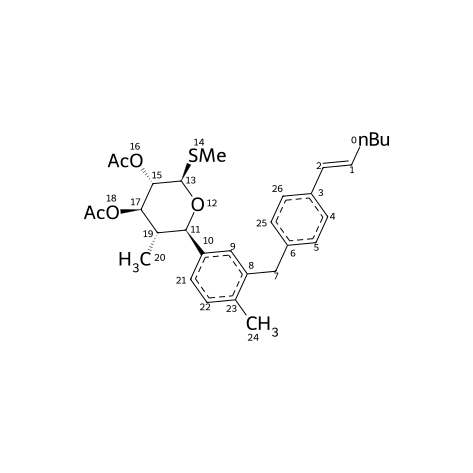 CCCC/C=C/c1ccc(Cc2cc([C@@H]3O[C@H](SC)[C@@H](OC(C)=O)[C@H](OC(C)=O)[C@H]3C)ccc2C)cc1